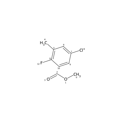 COC=O.Cc1cc(Cl)ccc1F